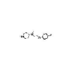 Fc1ccc(OCCNC2CCNCC2)cc1